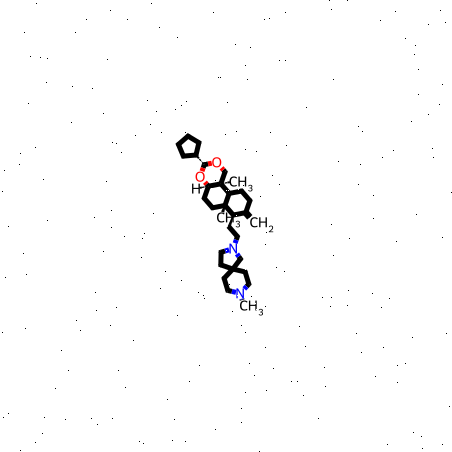 C=C1CCC2[C@]3(C)CO[C@@H](C4CCCC4)O[C@@H]3CC[C@@]2(C)[C@@H]1CCN1CCC2(CCN(C)CC2)C1